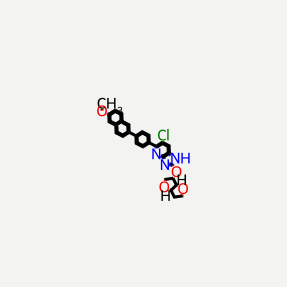 COc1ccc2cc(-c3ccc(-c4nc5nc(OC6CO[C@@H]7CCO[C@H]67)[nH]c5cc4Cl)cc3)ccc2c1